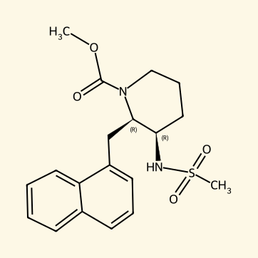 COC(=O)N1CCC[C@@H](NS(C)(=O)=O)[C@H]1Cc1cccc2ccccc12